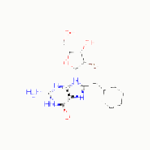 Nc1nc2c(nc(CC3CCCCC3)n2[C@@H]2O[C@H](CO)[C@@H](O)[C@H]2S)c(=O)[nH]1